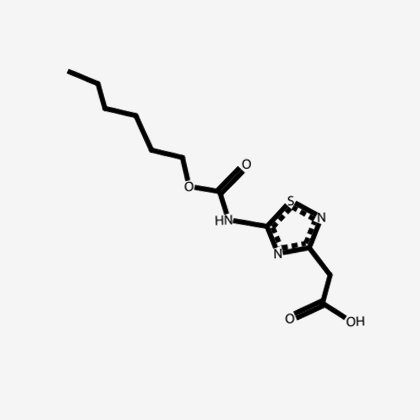 CCCCCCOC(=O)Nc1nc(CC(=O)O)ns1